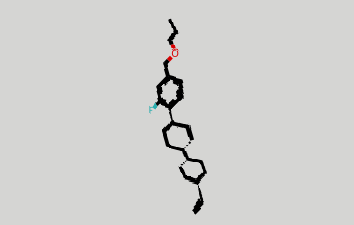 C=C[C@H]1CC[C@H]([C@H]2CC[C@H](c3ccc(COCCC)cc3F)CC2)CC1